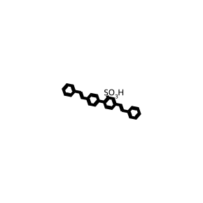 O=S(=O)(O)c1cc(C=Cc2ccccc2)ccc1-c1ccc(C=Cc2ccccc2)cc1